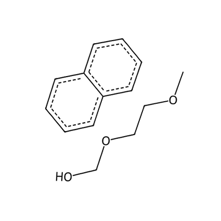 COCCOCO.c1ccc2ccccc2c1